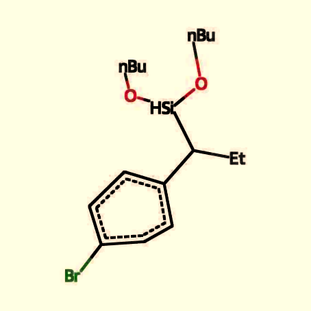 CCCCO[SiH](OCCCC)C(CC)c1ccc(Br)cc1